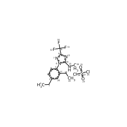 CCc1ccc(-n2nc(C(F)(F)F)nc2NC)c(CC)c1.O=S(=O)(Cl)Cl